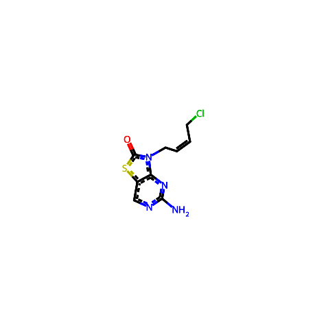 Nc1ncc2sc(=O)n(C/C=C\CCl)c2n1